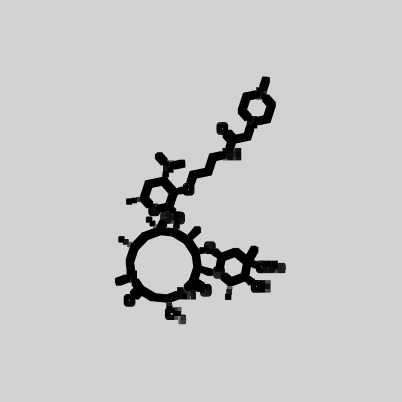 CO[C@]1(C)C[C@H](O[C@H]2[C@H](C)[C@@H](O[C@@H]3O[C@H](C)C[C@H](N(C)C)[C@H]3OCCCNC(=O)CN3CCN(C)CC3)[C@](C)(O)C[C@@H](C)CN(C)C(=O)C[C@@H](C(F)(F)F)NC(=O)[C@@H]2C)O[C@@H](C)[C@@H]1O